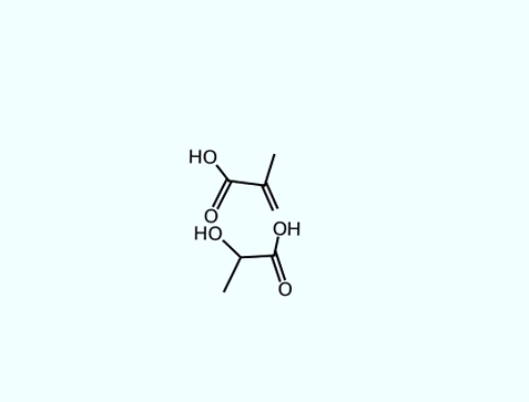 C=C(C)C(=O)O.CC(O)C(=O)O